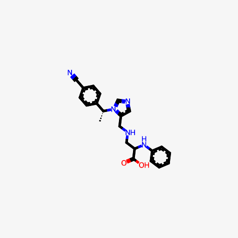 C[C@H](c1ccc(C#N)cc1)n1cncc1CNCC(Nc1ccccc1)C(=O)O